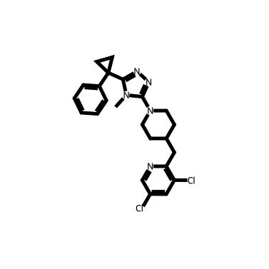 Cn1c(N2CCC(Cc3ncc(Cl)cc3Cl)CC2)nnc1C1(c2ccccc2)CC1